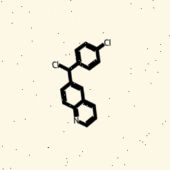 Clc1ccc(C(Cl)c2ccc3ncccc3c2)cc1